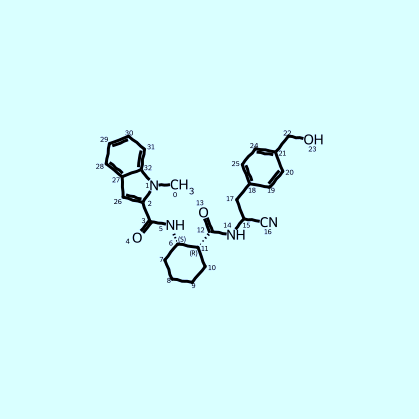 Cn1c(C(=O)N[C@H]2CCCC[C@H]2C(=O)NC(C#N)Cc2ccc(CO)cc2)cc2ccccc21